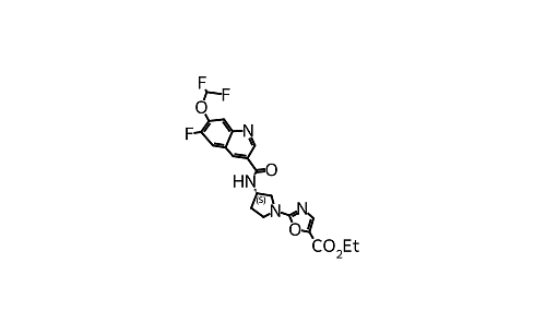 CCOC(=O)c1cnc(N2CC[C@H](NC(=O)c3cnc4cc(OC(F)F)c(F)cc4c3)C2)o1